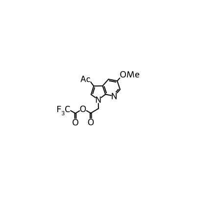 COc1cnc2c(c1)c(C(C)=O)cn2CC(=O)OC(=O)C(F)(F)F